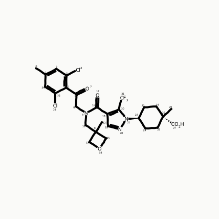 Cc1cc(Cl)c(C(=O)CN(CC2(C)COC2)C(=O)c2cnn([C@H]3CC[C@](C)(C(=O)O)CC3)c2C(F)(F)F)c(Cl)c1